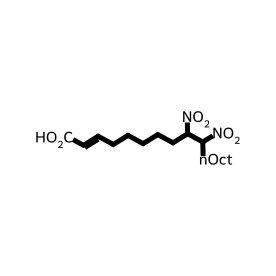 CCCCCCCCC(C(CCCCCC=CC(=O)O)[N+](=O)[O-])[N+](=O)[O-]